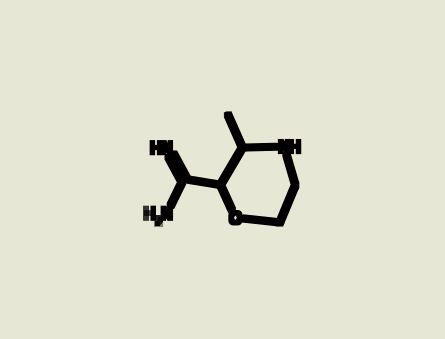 CC1NCCOC1C(=N)N